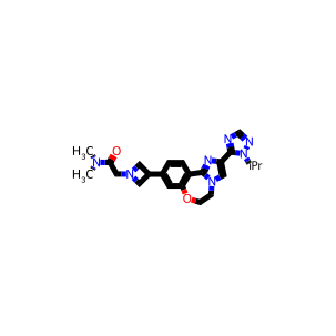 CC(C)n1ncnc1-c1cn2c(n1)-c1ccc(C3CN(CC(=O)N(C)C)C3)cc1OCC2